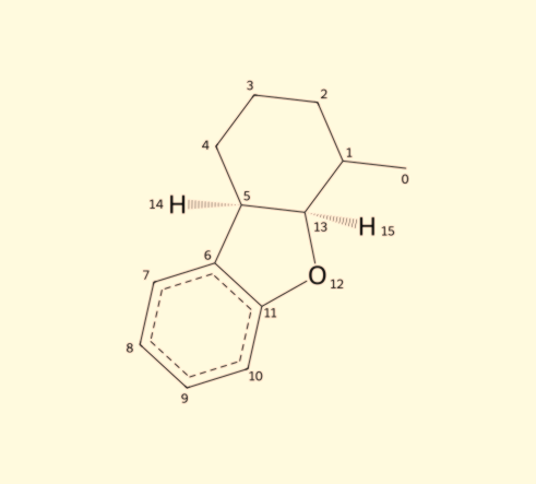 CC1CCC[C@@H]2c3ccccc3O[C@H]12